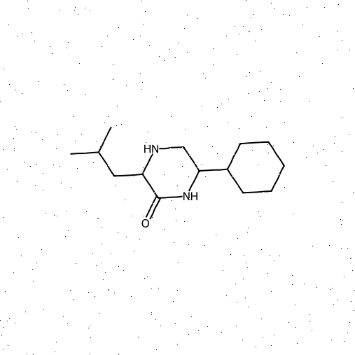 CC(C)CC1NCC(C2CCCCC2)NC1=O